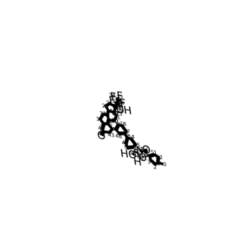 Cc1ccc(S(=O)(=O)N=[SH](C)(O)c2ccc(-c3ccc([C@H]4C[C@@]5(C)C(CC[C@]5(O)C(F)(F)C(F)(F)F)C5CCC6=CC(=O)CCC6=C54)cc3)cc2)cc1